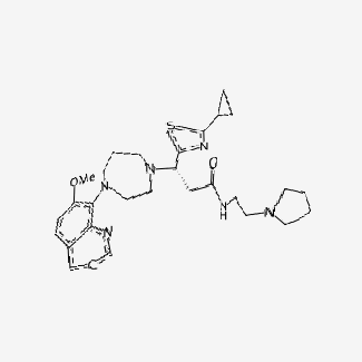 COc1ccc2cccnc2c1N1CCCN([C@@H](CC(=O)NCCN2CCCC2)c2csc(C3CC3)n2)CC1